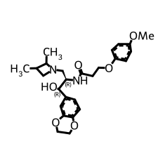 COc1ccc(OCCC(=O)N[C@H](CN2CC(C)C2C)[C@H](O)c2ccc3c(c2)OCCO3)cc1